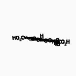 O=C(O)CCCCCNCCOCCOCCNCCOCCOCCNCC(=O)C(=O)C(=O)C(=O)O